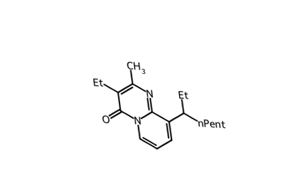 CCCCCC(CC)c1cccn2c(=O)c(CC)c(C)nc12